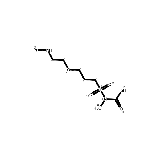 CC(C)NCCOCCCS(=O)(=O)N(C)C(=O)S